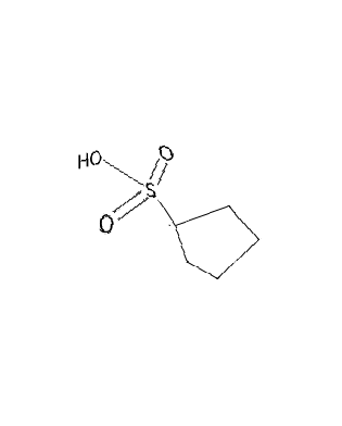 O=S(=O)(O)[C]1CCCC1